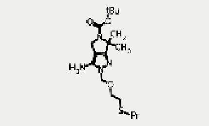 CC(C)SCCOCn1nc2c(c1N)CN(C(=O)OC(C)(C)C)C2(C)C